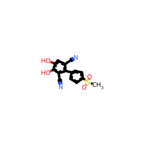 CS(=O)(=O)c1ccc(-c2c(C#N)cc(O)c(O)c2C#N)cc1